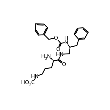 N[C@H](CCCNC(=O)O)C(=O)NC[C@H](Cc1ccccc1)NC(=O)OCc1ccccc1